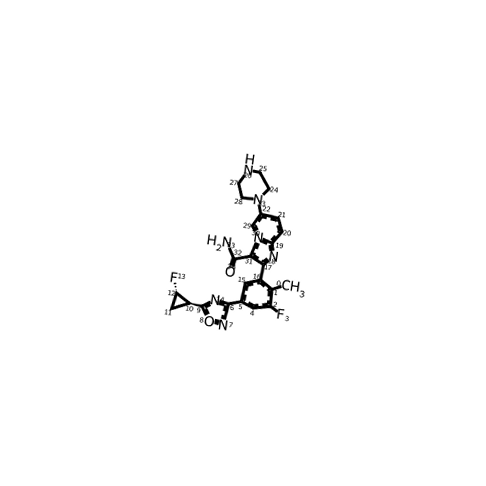 Cc1c(F)cc(-c2noc([C@H]3C[C@@H]3F)n2)cc1-c1nc2ccc(N3CCNCC3)cn2c1C(N)=O